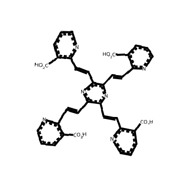 O=C(O)c1cccnc1C=Cc1nc(C=Cc2ncccc2C(=O)O)c(C=Cc2ncccc2C(=O)O)nc1C=Cc1ncccc1C(=O)O